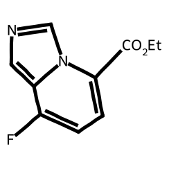 CCOC(=O)c1ccc(F)c2cncn12